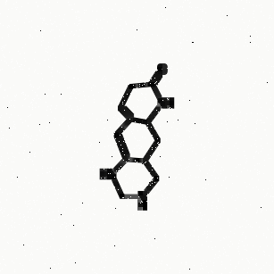 O=C1CC=C2C=C3NCNCC3CC2N1